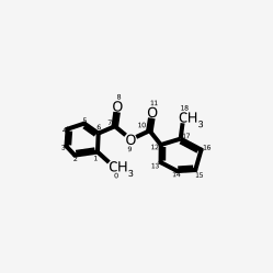 Cc1ccccc1C(=O)OC(=O)c1ccccc1C